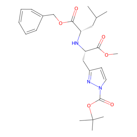 COC(=O)[C@H](Cc1ccn(C(=O)OC(C)(C)C)n1)N[C@@H](CC(C)C)C(=O)OCc1ccccc1